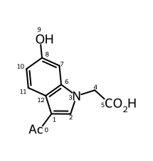 CC(=O)c1cn(CC(=O)O)c2cc(O)ccc12